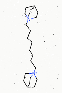 [CH](CCCCCC[CH][N+]12CCC(CC1)CC2)[N+]12CCC(CC1)CC2